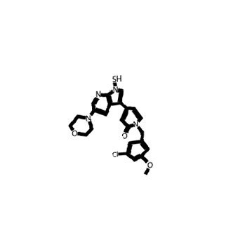 COc1cc(Cl)cc(Cn2ccc(-c3cn(S)c4ncc(N5CCOCC5)cc34)cc2=O)c1